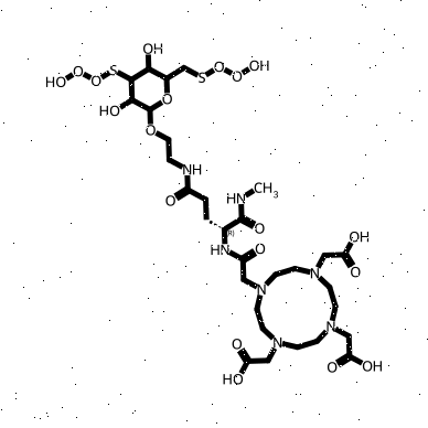 CNC(=O)[C@@H](CCC(=O)NCCOC1OC(CSOOO)C(O)C(SOOO)C1O)NC(=O)CN1CCN(CC(=O)O)CCN(CC(=O)O)CCN(CC(=O)O)CC1